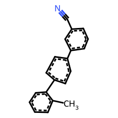 Cc1ccccc1-c1ccc(-c2cccc(C#N)c2)cc1